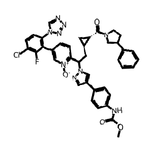 COC(=O)Nc1ccc(-c2cnn(C(C[C@H]3C[C@@H]3C(=O)N3CCC(c4ccccc4)C3)c3ccc(-c4c(-n5cnnn5)ccc(Cl)c4F)c[n+]3[O-])c2)cc1